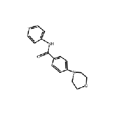 O=C(Nc1cc[c]cc1)c1ccc(N2CCOCC2)cc1